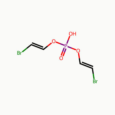 O=P(O)(O/C=C/Br)O/C=C/Br